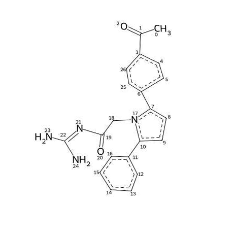 CC(=O)c1ccc(-c2ccc(-c3ccccc3)n2CC(=O)N=C(N)N)cc1